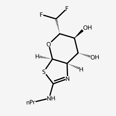 CCCNC1=N[C@@H]2[C@@H](O)[C@H](O)[C@@H](C(F)F)O[C@@H]2S1